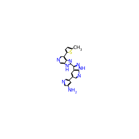 Cc1ccc(-c2cncc3[nH]c(-c4n[nH]c5ncc(-c6cncc(N)c6)cc45)nc23)s1